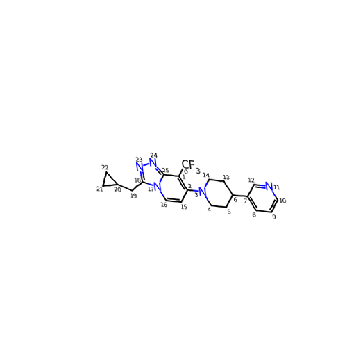 FC(F)(F)c1c(N2CCC(c3cccnc3)CC2)ccn2c(CC3CC3)nnc12